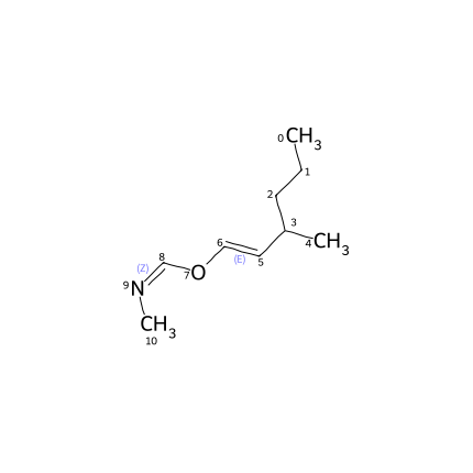 CCCC(C)/C=C/O/C=N\C